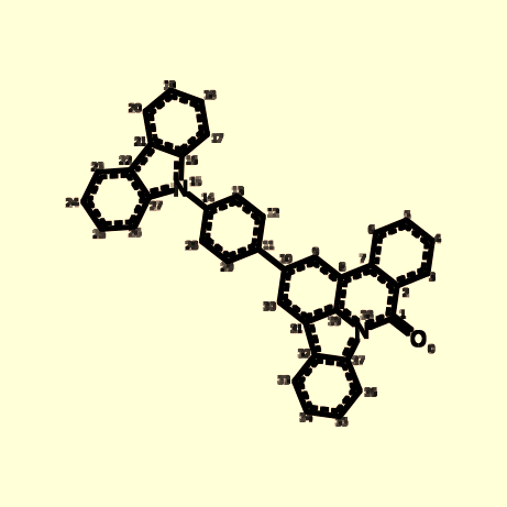 O=c1c2ccccc2c2cc(-c3ccc(-n4c5ccccc5c5ccccc54)cc3)cc3c4ccccc4n1c23